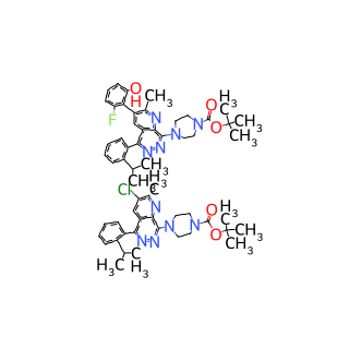 Cc1nc2c(N3CCN(C(=O)OC(C)(C)C)CC3)nnc(-c3ccccc3C(C)C)c2cc1-c1c(O)cccc1F.Cc1nc2c(N3CCN(C(=O)OC(C)(C)C)CC3)nnc(-c3ccccc3C(C)C)c2cc1Cl